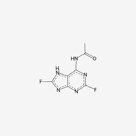 CC(=O)Nc1nc(F)nc2nc(F)[nH]c12